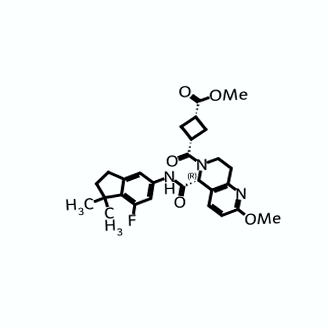 COc1ccc2c(n1)CCN(C(=O)[C@H]1C[C@@H](C(=O)OC)C1)[C@H]2C(=O)Nc1cc(F)c2c(c1)CCC2(C)C